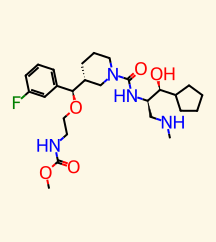 CNC[C@@H](NC(=O)N1CCC[C@@H]([C@@H](OCCNC(=O)OC)c2cccc(F)c2)C1)[C@@H](O)C1CCCC1